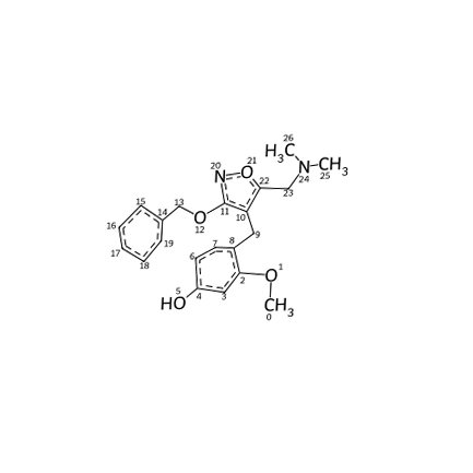 COc1cc(O)ccc1Cc1c(OCc2ccccc2)noc1CN(C)C